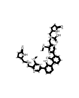 COc1nc(-c2cccc(-c3cccc(-c4cnc(CN(CC5CCC(=O)N5)C(=O)O)c(OC)n4)c3Cl)c2Cl)cnc1CNCC1CCC(=O)N1